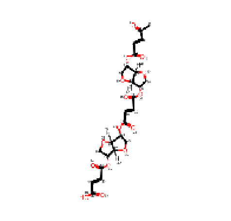 CC(=O)C=CC(=O)O[C@H]1CO[C@H]2[C@@H]1OC[C@H]2OC(=O)C=CC(=O)O[C@H]1CO[C@H]2[C@@H]1OC[C@H]2OC(=O)C=CC(=O)O